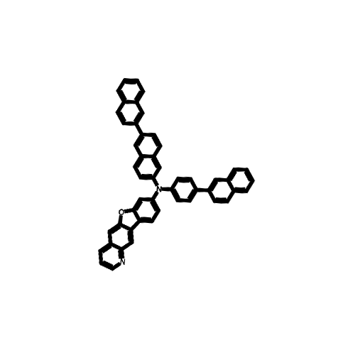 c1ccc2cc(-c3ccc(N(c4ccc5cc(-c6ccc7ccccc7c6)ccc5c4)c4ccc5c(c4)oc4cc6cccnc6cc45)cc3)ccc2c1